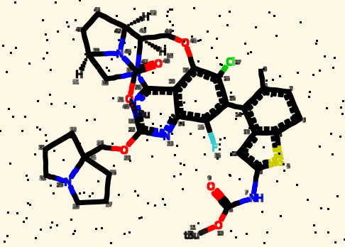 Cc1ccc2sc(NC(=O)OC(C)(C)C)cc2c1-c1c(Cl)c2c3c(nc(OCC45CCCN4CCC5)nc3c1F)N1C[C@H]3CC[C@@H]([C@H]1CO2)N3C(=O)OC(C)(C)C